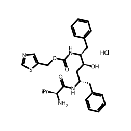 CC(C)[C@H](N)C(=O)N[C@@H](Cc1ccccc1)C[C@H](O)[C@H](Cc1ccccc1)NC(=O)OCc1cncs1.Cl